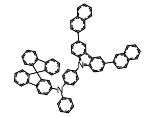 c1ccc(N(c2ccc(-n3c4ccc(-c5ccc6ccccc6c5)cc4c4cc(-c5ccc6ccccc6c5)ccc43)cc2)c2ccc3c(c2)C2(c4ccccc4-c4ccccc42)c2ccccc2-3)cc1